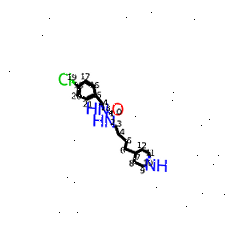 O=C(NCCCCC1CCNCC1)NCc1ccc(Cl)cc1